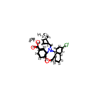 C=C[C@@H]1CCC1CN1C[C@@]2(CCCc3cc(Cl)ccc32)COc2ccc(C(=O)OC(C)C)cc21